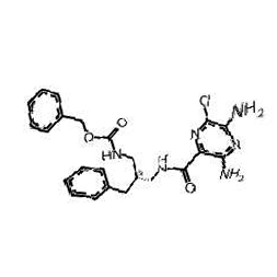 Nc1nc(N)c(C(=O)NC[C@@H](CNC(=O)OCc2ccccc2)Cc2ccccc2)nc1Cl